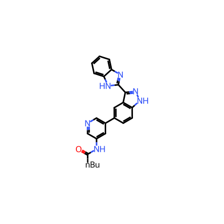 CCCCC(=O)Nc1cncc(-c2ccc3[nH]nc(-c4nc5ccccc5[nH]4)c3c2)c1